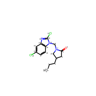 CCCC1CC(=O)N(Cn2c(Cl)nc3cc(Cl)ccc32)C1